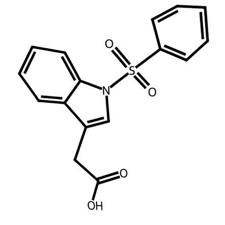 O=C(O)Cc1cn(S(=O)(=O)c2ccccc2)c2ccccc12